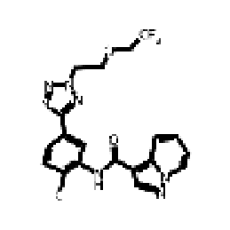 O=C(Nc1cc(-c2nnn(CCOCC(F)(F)F)n2)ccc1Cl)c1cnn2ccccc12